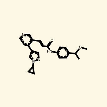 COC(C)c1ccc(NC(=O)C=Cc2cnccc2-c2cnn(C3CC3)c2)cc1